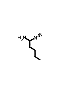 CCCCC(N)[N+]#N